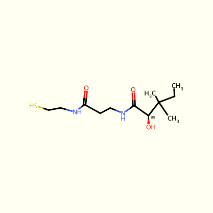 CCC(C)(C)[C@@H](O)C(=O)NCCC(=O)NCCS